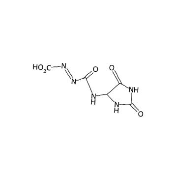 O=C(O)N=NC(=O)NC1NC(=O)NC1=O